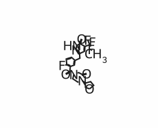 Cc1c(Cc2ccc(F)c(C(=O)N3CCN(C4CCOC4)C(=O)C3)c2)n[nH]c(=O)c1C(F)(F)F